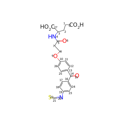 O=C(O)CCC(NC(=O)CCOc1ccc(C(=O)c2ccc(N=C=S)cc2)cc1)C(=O)O